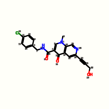 Cn1cc(C(=O)NCc2ccc(Cl)cc2)c(=O)c2cc(C#CCO)ncc21